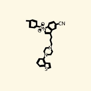 Cc1ccc(S(=O)(=O)n2cc(CCCN3CCN(c4cccc5sccc45)CC3)c3cc(C#N)ccc32)cc1